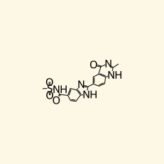 Cc1nc(=O)c2cc(-c3nc4cc(C(=O)NS(C)(=O)=O)ccc4[nH]3)ccc2[nH]1